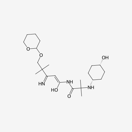 CC(C)(COC1CCCCO1)C(=N)/C=C(\O)NC(=O)C(C)(C)N[C@H]1CC[C@@H](O)CC1